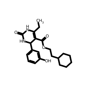 CCC1=C(C(=O)OCCC2CCCCC2)C(c2cccc(O)c2)NC(=O)N1